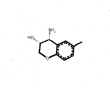 Cc1ccc2c(c1)[C@@H](N)[C@@H](O)CO2